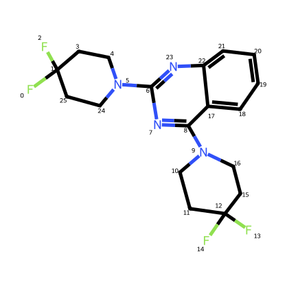 FC1(F)CCN(c2nc(N3CCC(F)(F)CC3)c3ccccc3n2)CC1